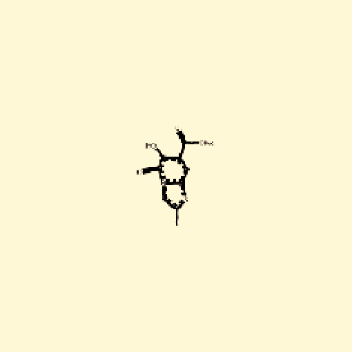 COC(=O)c1cc2sc(C)cn2c(=O)c1O